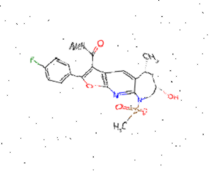 CNC(=O)c1c(-c2ccc(F)cc2)oc2nc3c(cc12)[C@H](C)C[C@H](O)CN3S(C)(=O)=O